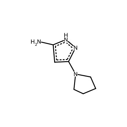 Nc1cc(N2CCCC2)n[nH]1